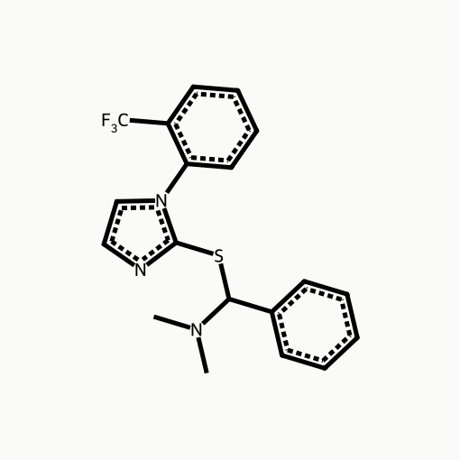 CN(C)C(Sc1nccn1-c1ccccc1C(F)(F)F)c1ccccc1